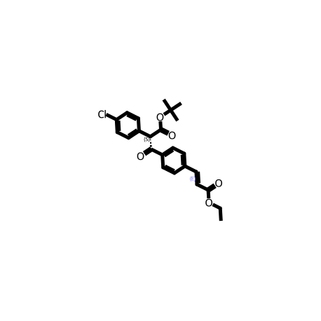 CCOC(=O)/C=C/c1ccc(C(=O)[C@@H](C(=O)OC(C)(C)C)c2ccc(Cl)cc2)cc1